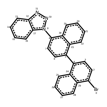 Brc1ccc(-c2ccc(-n3nnc4ccccc43)c3ccccc23)c2ccccc12